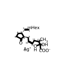 CCCCCC/C=C/[C@H]1CCC(=O)[C@@H]1C/C=C\CC(C)C(O)(O)C(=O)[O-].[Ag+]